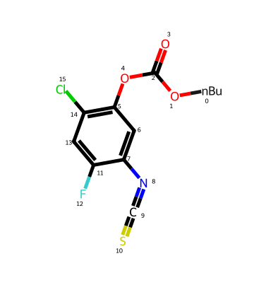 CCCCOC(=O)Oc1cc(N=C=S)c(F)cc1Cl